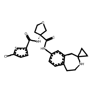 O=C(N[C@]1(C(=O)Nc2ccc3c(c2)CC2(CC2)NCC3)CCOC1)c1ccc(Cl)s1